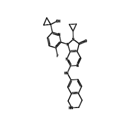 O=c1c2cnc(Nc3ccc4c(c3)CNCC4)nc2n(-c2nc(C3(O)CC3)ccc2F)n1C1CC1